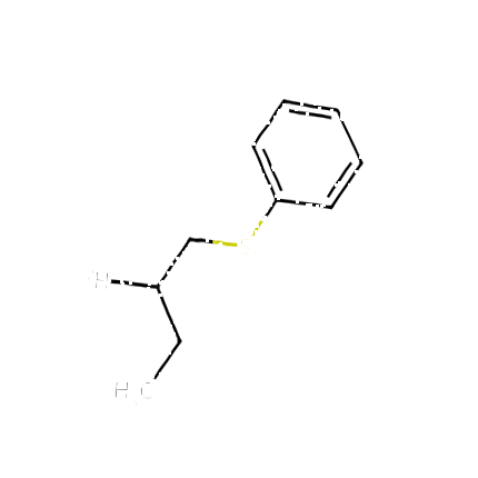 [2H]C(CC)CSc1ccccc1